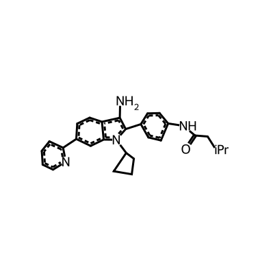 CC(C)CC(=O)Nc1ccc(-c2c(N)c3ccc(-c4ccccn4)cc3n2C2CCC2)cc1